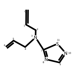 C=CCN(CC=C)c1ncns1